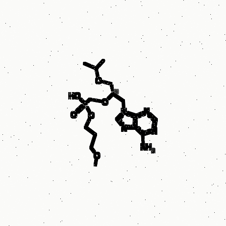 COCCCOP(=O)(O)CO[C@H](COC(C)C)Cn1cnc2c(N)ncnc21